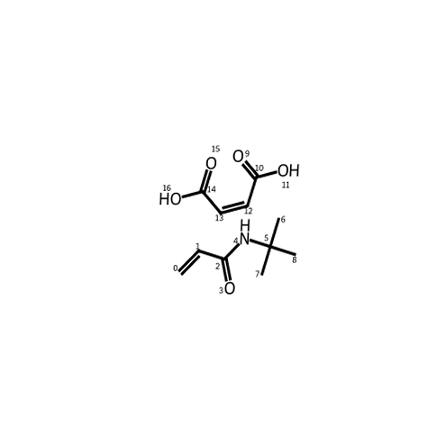 C=CC(=O)NC(C)(C)C.O=C(O)/C=C\C(=O)O